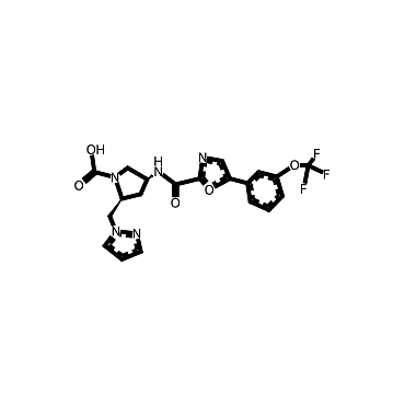 O=C(N[C@@H]1C[C@@H](Cn2cccn2)N(C(=O)O)C1)c1ncc(-c2cccc(OC(F)(F)F)c2)o1